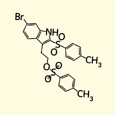 Cc1ccc(S(=O)(=O)OCCc2c(S(=O)(=O)c3ccc(C)cc3)[nH]c3cc(Br)ccc23)cc1